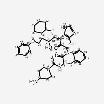 NC1CCN(C(=O)N[C@@H](Cc2ccccc2)C(=O)N[C@@H](Cc2c[nH]cn2)C(=O)N[C@@H](CC2CCCCC2)[C@@H](O)CCOc2ncccn2)CC1